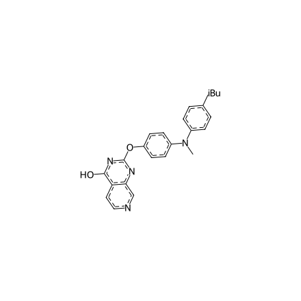 CCC(C)c1ccc(N(C)c2ccc(Oc3nc(O)c4ccncc4n3)cc2)cc1